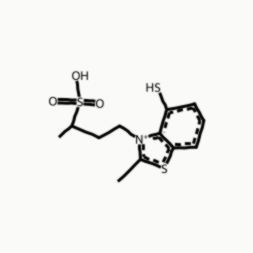 Cc1sc2cccc(S)c2[n+]1CCC(C)S(=O)(=O)O